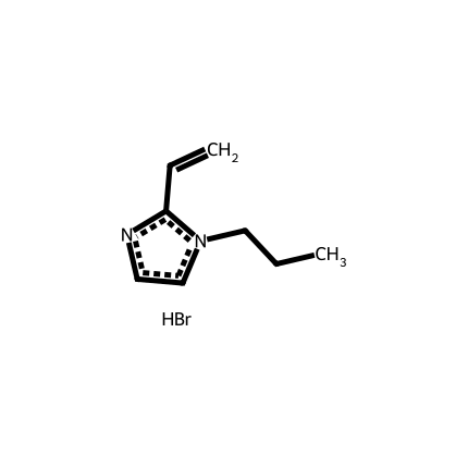 Br.C=Cc1nccn1CCC